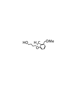 COCc1cccc(OCCCCO)c1C